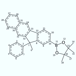 CC1(c2ccccc2)c2cc(B3OC(C)(C)C(C)(C)O3)ccc2-c2cc3ccccc3cc21